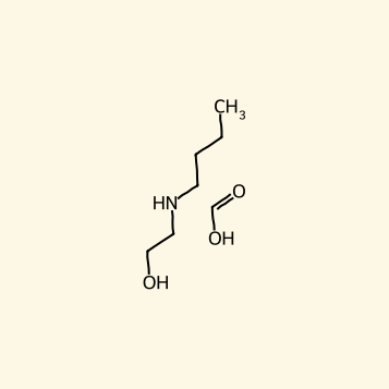 CCCCNCCO.O=CO